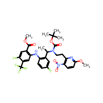 COC(=O)c1cc(F)c(C(F)(F)F)cc1Nc1ccc(F)cc1C(C)N(CCc1nc(OC)ccc1[N+](=O)[O-])C(=O)OC(C)(C)C